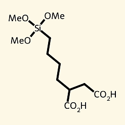 CO[Si](CCCCC(CC(=O)O)C(=O)O)(OC)OC